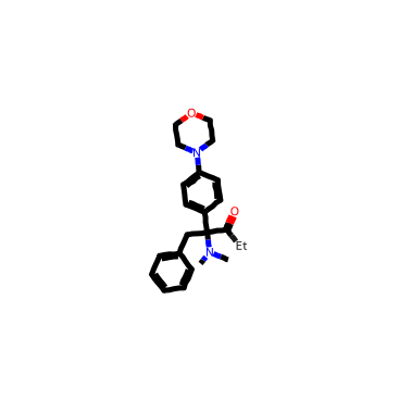 CCC(=O)C(Cc1ccccc1)(c1ccc(N2CCOCC2)cc1)N(C)C